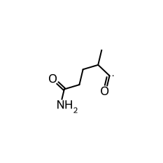 CC([C]=O)CCC(N)=O